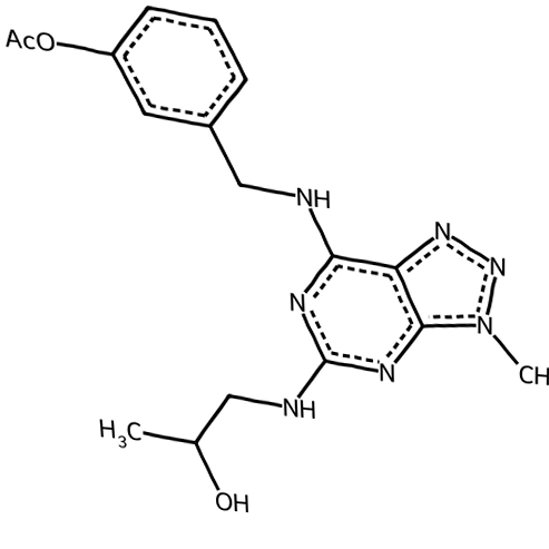 CC(=O)Oc1cccc(CNc2nc(NCC(C)O)nc3c2nnn3C)c1